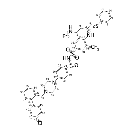 CC(C)NCC[C@H](CSc1ccccc1)Nc1ccc(S(=O)(=O)NC(=O)c2ccc(N3CCN(Cc4ccccc4-c4ccc(Cl)cc4)CC3)cc2)cc1C(F)(F)F